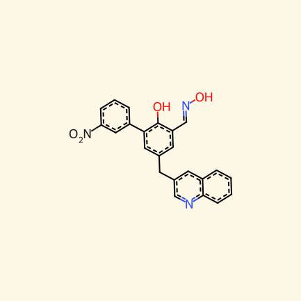 O=[N+]([O-])c1cccc(-c2cc(Cc3cnc4ccccc4c3)cc(/C=N/O)c2O)c1